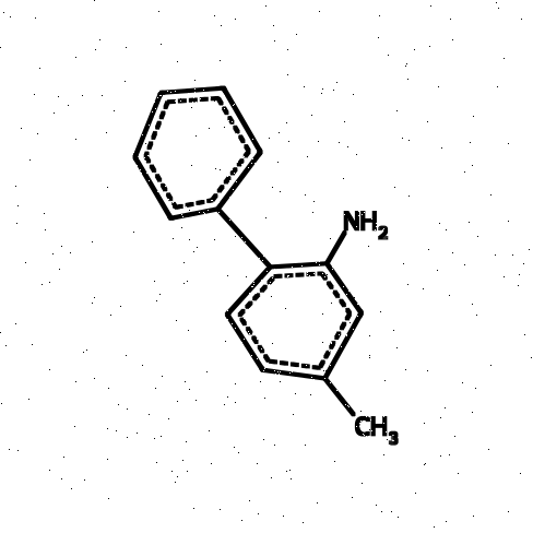 Cc1ccc(-c2ccccc2)c(N)c1